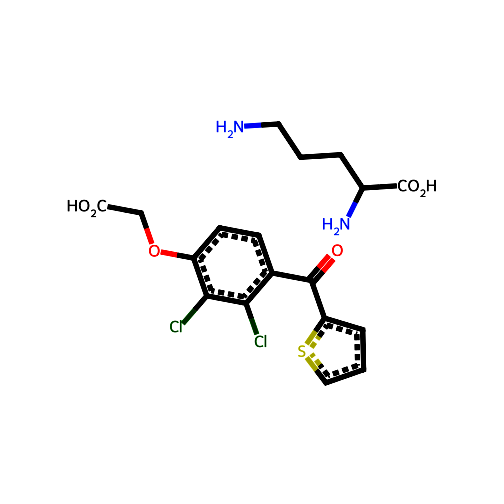 NCCCC(N)C(=O)O.O=C(O)COc1ccc(C(=O)c2cccs2)c(Cl)c1Cl